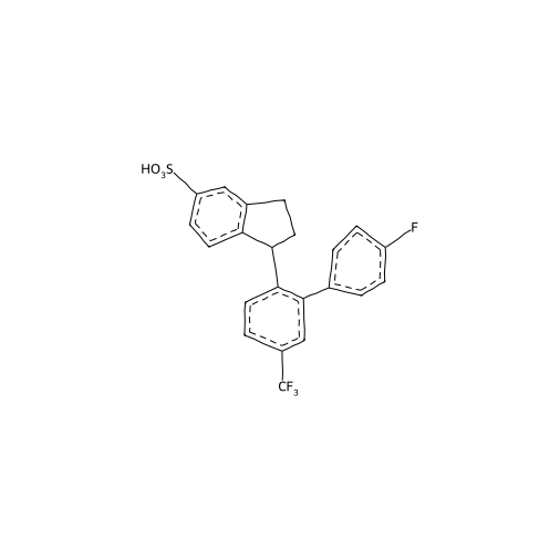 O=S(=O)(O)c1ccc2c(c1)CCC2c1ccc(C(F)(F)F)cc1-c1ccc(F)cc1